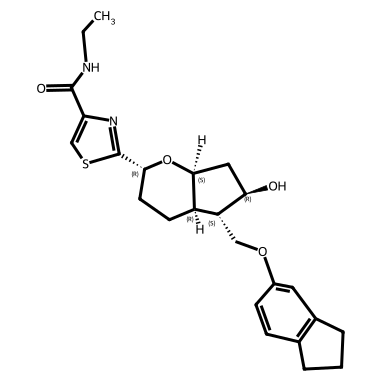 CCNC(=O)c1csc([C@H]2CC[C@@H]3[C@@H](COc4ccc5c(c4)CCC5)[C@H](O)C[C@@H]3O2)n1